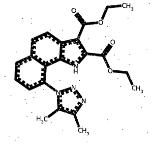 CCOC(=O)c1[nH]c2c(ccc3cccc(-n4nnc(C)c4C)c32)c1C(=O)OCC